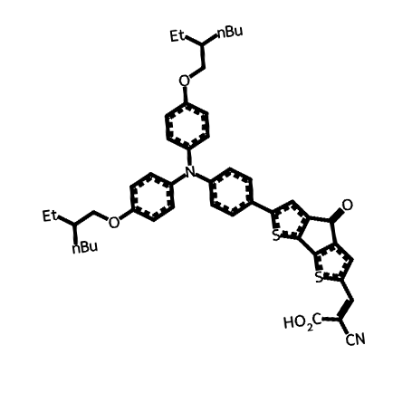 CCCCC(CC)COc1ccc(N(c2ccc(OCC(CC)CCCC)cc2)c2ccc(-c3cc4c(s3)-c3sc(C=C(C#N)C(=O)O)cc3C4=O)cc2)cc1